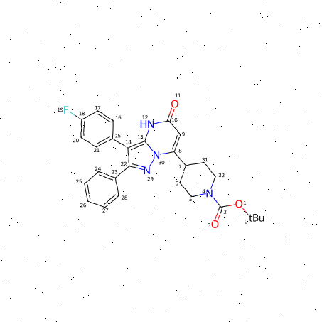 CC(C)(C)OC(=O)N1CCC(c2cc(=O)[nH]c3c(-c4ccc(F)cc4)c(-c4ccccc4)nn23)CC1